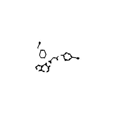 N#CC[C@H]1CC[C@H](n2c(CC(=O)Nc3ccc(C#N)cc3)nc3cnc4[nH]ccc4c32)CC1